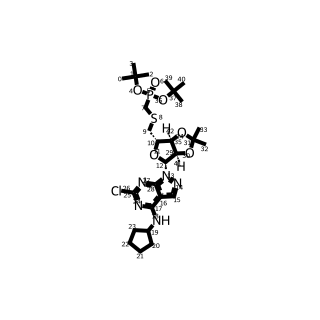 CC(C)(C)OP(=O)(CSC[C@H]1O[C@@H](n2ncc3c(NC4CCCC4)nc(Cl)nc32)[C@@H]2OC(C)(C)O[C@@H]21)OC(C)(C)C